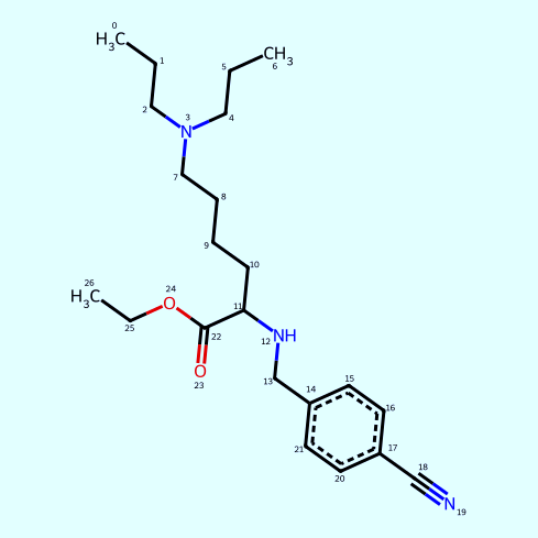 CCCN(CCC)CCCCC(NCc1ccc(C#N)cc1)C(=O)OCC